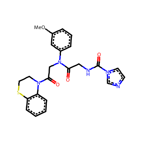 COc1cccc(N(CC(=O)N2CCSc3ccccc32)C(=O)CNC(=O)n2ccnc2)c1